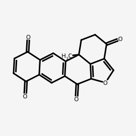 CC12CCC(=O)c3coc(c31)C(=O)c1cc3c(cc12)C(=O)C=CC3=O